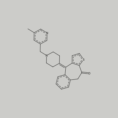 Cc1cncc(CN2CCC(=C3c4ccccc4CC(=O)c4sccc43)CC2)c1